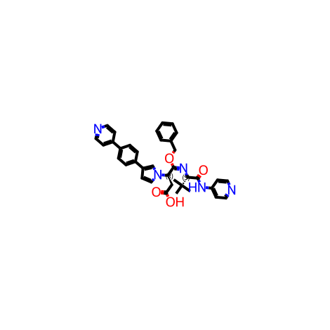 CC(C)(C)[C@H](N=C(OCc1ccccc1)[C@@H](CC(=O)O)n1ccc(-c2ccc(-c3ccncc3)cc2)c1)C(=O)Nc1ccncc1